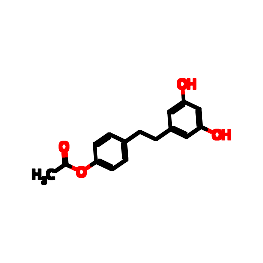 CC(=O)Oc1ccc(CCc2cc(O)cc(O)c2)cc1